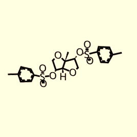 Cc1ccc(S(=O)(=O)O[C@@H]2CO[C@@]3(C)[C@@H]2OC[C@H]3OS(=O)(=O)c2ccc(C)cc2)cc1